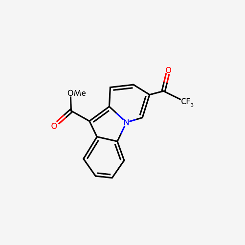 COC(=O)c1c2ccccc2n2cc(C(=O)C(F)(F)F)ccc12